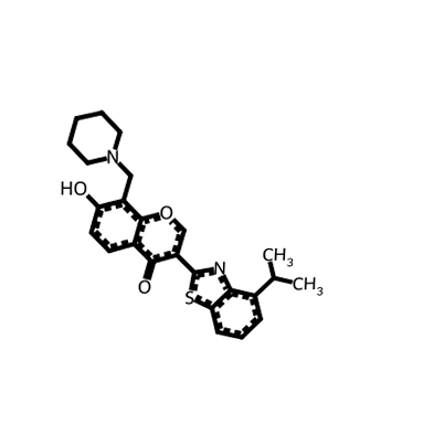 CC(C)c1cccc2sc(-c3coc4c(CN5CCCCC5)c(O)ccc4c3=O)nc12